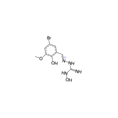 COc1cc(Br)cc(/C=N/NC(=N)NO)c1O